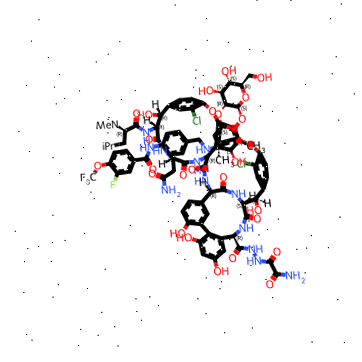 CN[C@H](CC(C)C)C(=O)N[C@H]1C(=O)N[C@@H](CC(N)=O)C(=O)N[C@H]2C(=O)N[C@H]3C(=O)N[C@H](C(=O)N[C@@H](C(=O)NNC(=O)C(N)=O)c4cc(O)cc(O)c4-c4cc3ccc4O)[C@H](O)c3ccc(c(Cl)c3)Oc3cc2cc(c3O[C@@H]2O[C@H](CO)[C@@H](O)[C@H](O)[C@H]2O[C@H]2C[C@](C)(NCc3ccc(NC(=O)c4ccc(OC(F)(F)F)c(F)c4)cc3)[C@H](O)[C@H](C)O2)Oc2ccc(cc2Cl)[C@H]1O